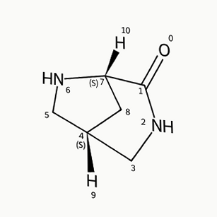 O=C1NC[C@@H]2CN[C@H]1C2